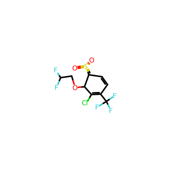 O=S(=O)=C1C=CC(C(F)(F)F)=C(Cl)C1OCC(F)F